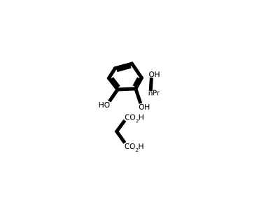 CCCO.O=C(O)CC(=O)O.Oc1ccccc1O